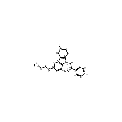 CN1CCc2c(c3cc(OCCO)ccc3n2CC(O)c2ccncc2)C1